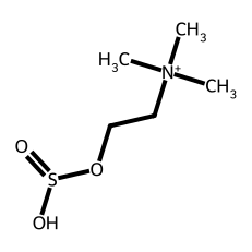 C[N+](C)(C)CCOS(=O)O